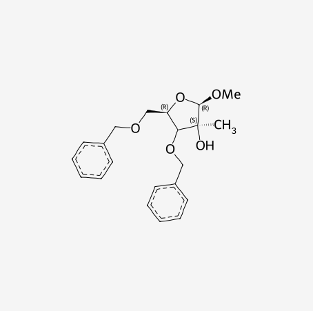 CO[C@@H]1O[C@H](COCc2ccccc2)C(OCc2ccccc2)[C@]1(C)O